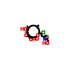 C/C1=C/C[C@@H](C(Cl)=Cc2csc(CO)n2)OC(=O)C[C@H](O)C(C)(C)C(=O)[C@H](C)[C@@H](O)[C@@H](C)CCC1